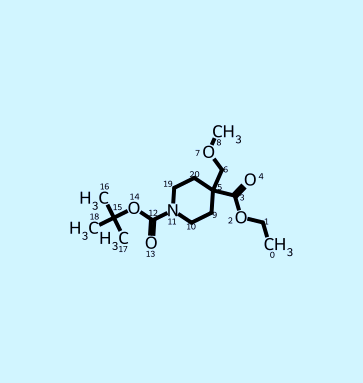 CCOC(=O)C1(COC)CCN(C(=O)OC(C)(C)C)CC1